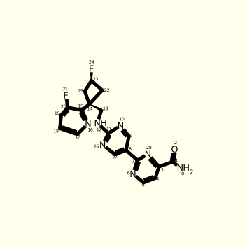 NC(=O)c1ccnc(-c2cnc(NC[C@]3(c4ncccc4F)C[C@H](F)C3)nc2)n1